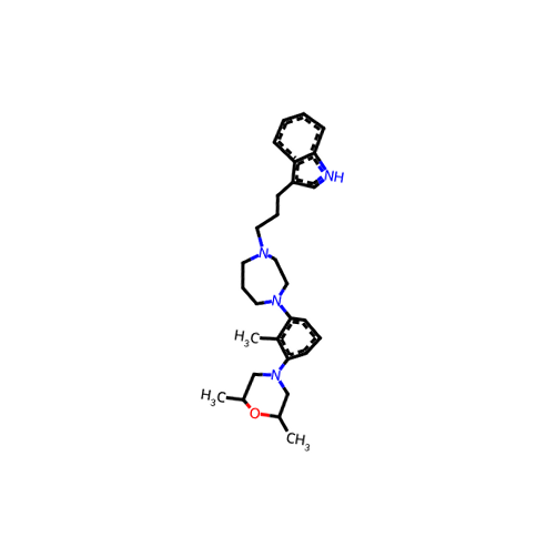 Cc1c(N2CCCN(CCCc3c[nH]c4ccccc34)CC2)cccc1N1CC(C)OC(C)C1